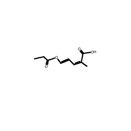 CCC(=O)OC=CC=C(C)C(=O)O